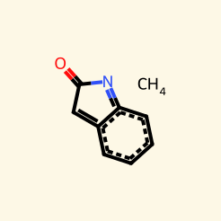 C.O=C1C=c2ccccc2=N1